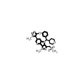 Cc1nnn(C)c1-c1cnc2c3c(c(CS(C)(=O)=O)nn3C)n(C(c3ccccc3)C3CCOCC3)c2c1